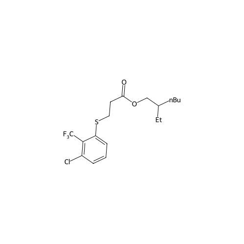 CCCCC(CC)COC(=O)CCSc1cccc(Cl)c1C(F)(F)F